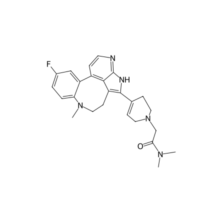 CN(C)C(=O)CN1CC=C(c2[nH]c3nccc4c3c2CCN(C)c2ccc(F)cc2-4)CC1